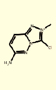 C[n+]1nc2ccc(N)nn2c1Cl